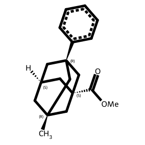 COC(=O)[C@@]12C[C@H]3C[C@@](C)(C1)C[C@](c1ccccc1)(C3)C2